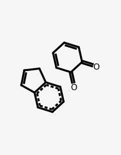 C1=Cc2ccccc2C1.O=C1C=CC=CC1=O